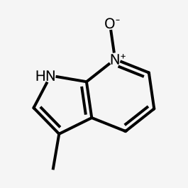 Cc1c[nH]c2c1ccc[n+]2[O-]